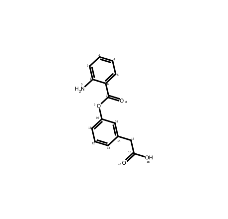 Nc1ccccc1C(=O)Oc1cccc(CC(=O)O)c1